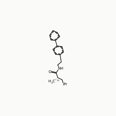 CC(C)C[C@H](C)C(=O)NCCc1ccc(-c2ccccc2)cc1